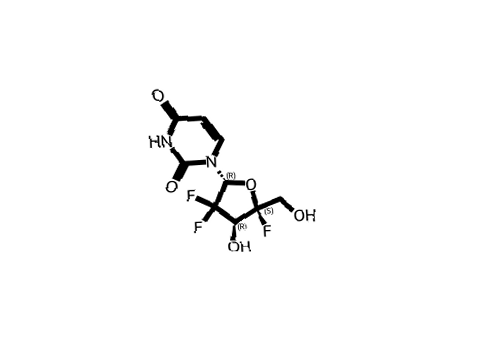 O=c1ccn([C@@H]2O[C@](F)(CO)[C@@H](O)C2(F)F)c(=O)[nH]1